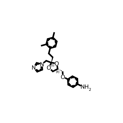 Cc1ccc(CC[C@]2(Cn3ccnc3)OC[C@@H](COc3ccc(N)cc3)O2)c(C)c1